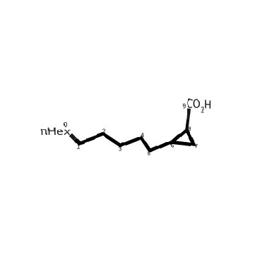 CCCCCCCCCCCC1CC1C(=O)O